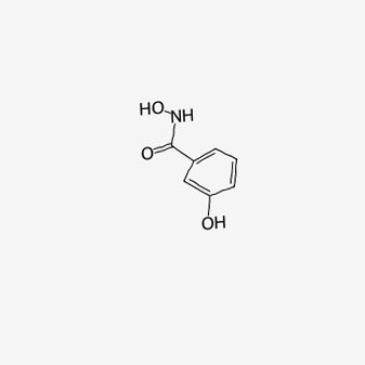 O=C(NO)c1cccc(O)c1